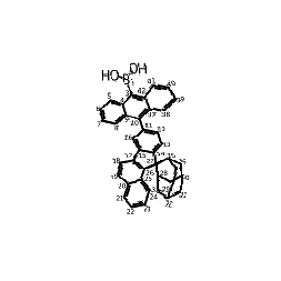 OB(O)c1c2ccccc2c(-c2ccc3c(c2)-c2ccc4ccccc4c2C32C3CC4CC(C3)CC2C4)c2ccccc12